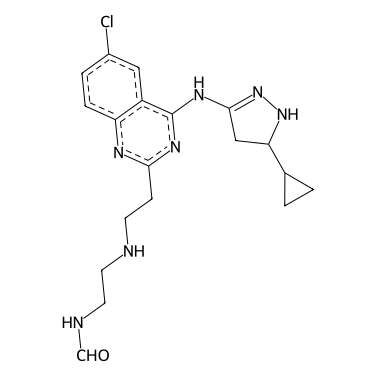 O=CNCCNCCc1nc(NC2=NNC(C3CC3)C2)c2cc(Cl)ccc2n1